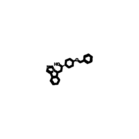 OC(CC1C2=C(C=CCC2)c2cncn21)[C@H]1CC[C@H](OCc2ccccc2)CC1